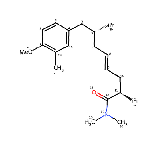 COc1ccc(C[C@@H](C/C=C/C[C@H](C(=O)N(C)C)C(C)C)C(C)C)cc1C